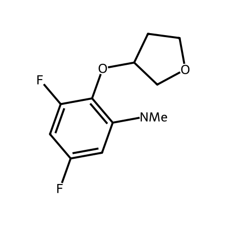 CNc1cc(F)cc(F)c1OC1CCOC1